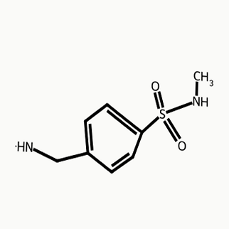 CNS(=O)(=O)c1ccc(C[NH])cc1